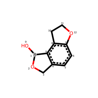 OB1OCc2ccc3c(c21)CCO3